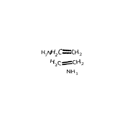 C=C.C=C.N.N